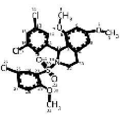 COc1cc2c(c(OC)c1)C(c1cc(Cl)cc(Cl)c1)N(S(=O)(=O)c1cc(Cl)ccc1OC)CC2